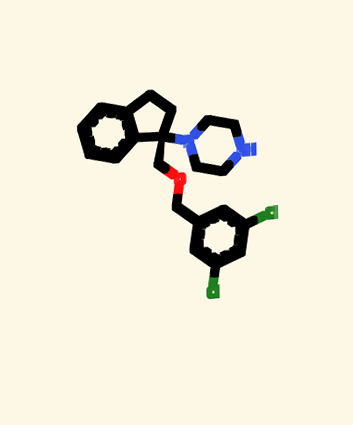 Clc1cc(Cl)cc(COC[C@]2(N3CCNCC3)CCc3ccccc32)c1